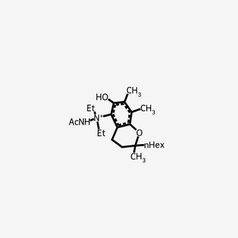 CCCCCCC1(C)CCc2c(c(C)c(C)c(O)c2[N+](CC)(CC)NC(C)=O)O1